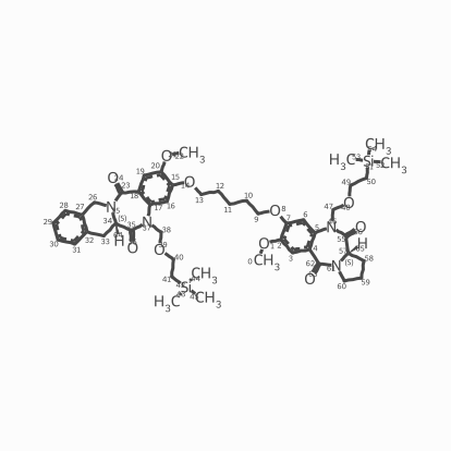 COc1cc2c(cc1OCCCCCOc1cc3c(cc1OC)C(=O)N1Cc4ccccc4C[C@H]1C(=O)N3COCC[Si](C)(C)C)N(COCC[Si](C)(C)C)C(=O)[C@@H]1CCCN1C2=O